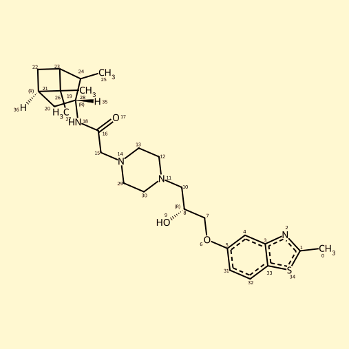 Cc1nc2cc(OC[C@H](O)CN3CCN(CC(=O)N[C@@H]4C[C@H]5CC(C4C)C5(C)C)CC3)ccc2s1